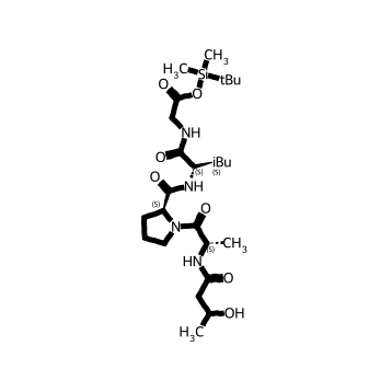 CC[C@H](C)[C@H](NC(=O)[C@@H]1CCCN1C(=O)[C@H](C)NC(=O)CC(C)O)C(=O)NCC(=O)O[Si](C)(C)C(C)(C)C